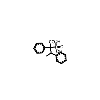 CC(c1ccccc1)C(C(=O)O)(c1ccccc1)P(=O)(O)O